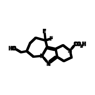 O=C(O)N1CCc2nn3c(c2C1)C(F)(F)CCC(CO)C3